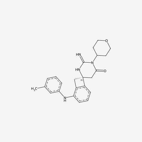 Cc1cccc(Nc2cccc3c2C[C@]32CC(=O)N(C3CCOCC3)C(=N)N2)c1